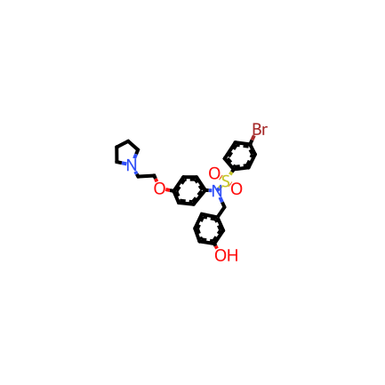 O=S(=O)(c1ccc(Br)cc1)N(Cc1cccc(O)c1)c1ccc(OCCN2CCCC2)cc1